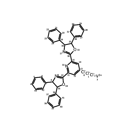 [Cl-].[Cl-].[Cl-].[V+3].c1ccc(C2N=C(c3cccc(C4=NC(c5ccccc5)C(c5ccccc5)O4)n3)OC2c2ccccc2)cc1